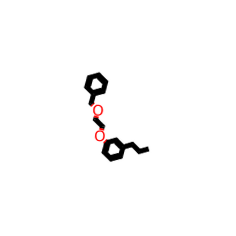 CCCc1cccc(OCCOCc2ccccc2)c1